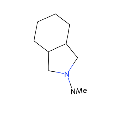 CNN1CC2CCCCC2C1